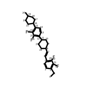 CCc1ccc(/C=C/C2CCC(c3ccc(C4CCC(C)CC4)c(F)c3F)CC2)c(F)c1F